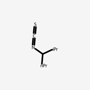 CCCC(N=C=S)C(C)C